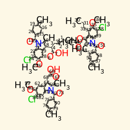 CCCCC(C(=O)O)c1c(C)n(C(=O)c2ccc(C)cc2)c2cc(Cl)c(OC)cc12.CCCc1c(OC)c(Cl)cc2c1c(OC(C)=O)c(C)n2C(=O)c1ccc(C)cc1.COc1cc2c(CC(=O)O)c(C)n(C(=O)c3ccc(C)cc3)c2cc1Cl